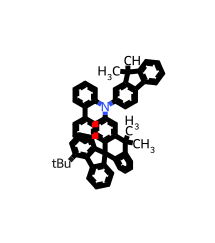 CC(C)(C)c1cccc2c1-c1ccccc1C21c2ccccc2C(C)(C)c2cc(N(c3ccc4c(c3)C(C)(C)c3ccccc3-4)c3ccccc3-c3ccccc3)ccc21